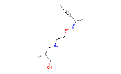 CC#C/C(C)=N\OCCNC[C@@H](C)CO